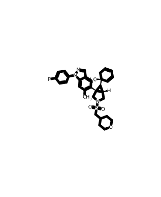 Cc1cc2c(cnn2-c2ccc(F)cc2)cc1[C@]12CN(S(=O)(=O)CC3CCOCC3)C[C@H]1[C@@H]2[C@@]1(C)C=CC=CC1